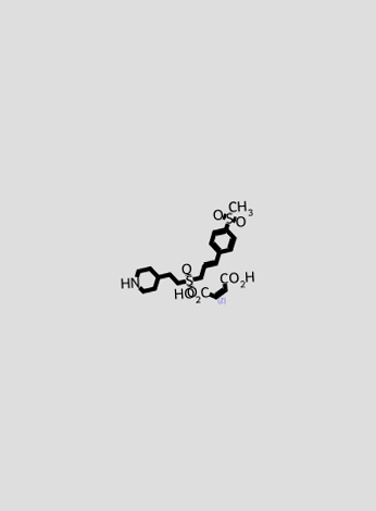 CS(=O)(=O)c1ccc(C=CCS(=O)(=O)CCC2CCNCC2)cc1.O=C(O)/C=C\C(=O)O